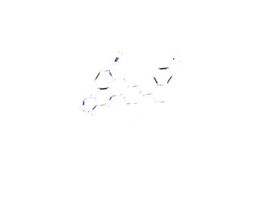 CCC(c1ccc(C(F)(F)F)cc1)N1C[C@H](CC)N(c2nc3nncn3c3ccc(C#N)nc23)C[C@H]1CC